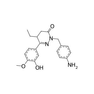 CCC1CC(=O)N(Cc2ccc(N)cc2)N=C1c1ccc(OC)c(O)c1